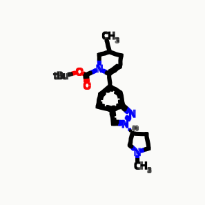 CC1CC=C(c2ccc3cn([C@@H]4CCN(C)C4)nc3c2)N(C(=O)OC(C)(C)C)C1